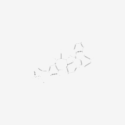 CN1C(=O)[C@@H](NC(c2ccccc2)(c2ccccc2)c2ccccc2)COc2ccc(-c3ccnn3C)cc21